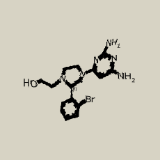 Nc1cc(N2CCN(CCO)[C@H](c3ccccc3Br)C2)nc(N)n1